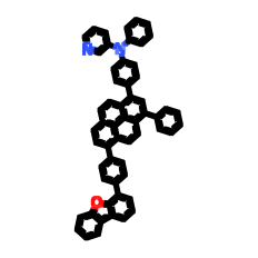 c1ccc(-c2cc(-c3ccc(N(c4ccccc4)c4cccnc4)cc3)c3ccc4ccc(-c5ccc(-c6cccc7c6oc6ccccc67)cc5)c5ccc2c3c45)cc1